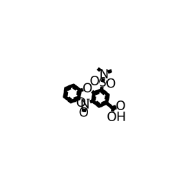 CN(C)S(=O)(=O)c1cc(C(=O)O)cc([N+](=O)[O-])c1Oc1ccccc1